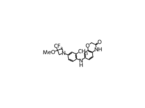 COC1(C(F)(F)F)CN(c2ccc(Nc3ccc4c(c3)OCC(=O)N4)c(C)c2)C1